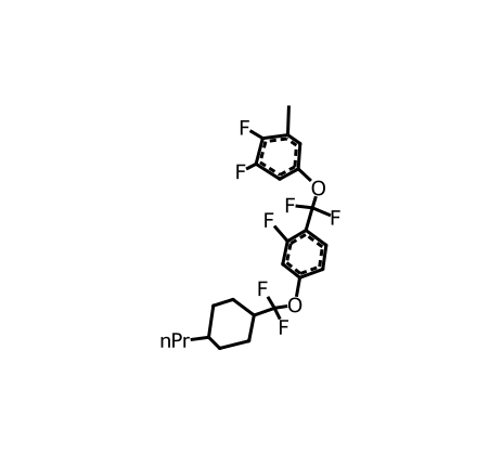 CCCC1CCC(C(F)(F)Oc2ccc(C(F)(F)Oc3cc(C)c(F)c(F)c3)c(F)c2)CC1